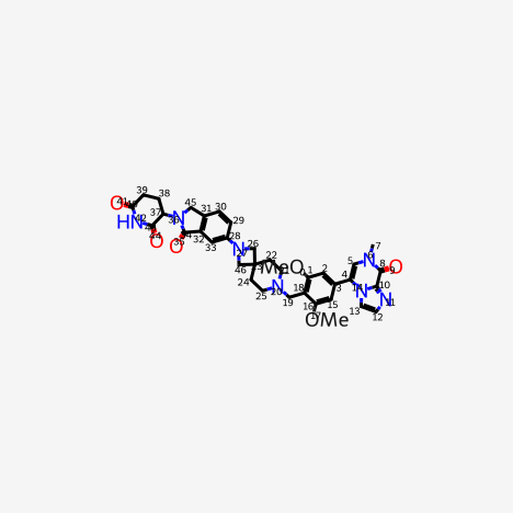 COc1cc(-c2cn(C)c(=O)c3nccn23)cc(OC)c1CN1CCC2(CC1)CN(c1ccc3c(c1)C(=O)N(C1CCC(=O)NC1=O)C3)C2